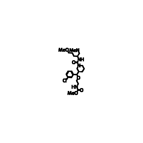 CNC[C@H](CCCOC)NC(=O)N1CCC[C@@H]([C@@H](OCCNC(=O)OC)c2cccc(Cl)c2)C1